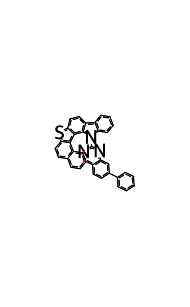 c1ccc(-c2ccc3cnc(-n4c5ccccc5c5ccc6sc7ccc8ccccc8c7c6c54)nc3c2)cc1